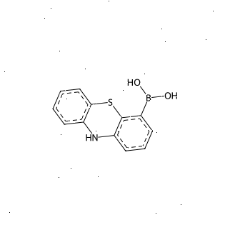 OB(O)c1cccc2c1Sc1ccccc1N2